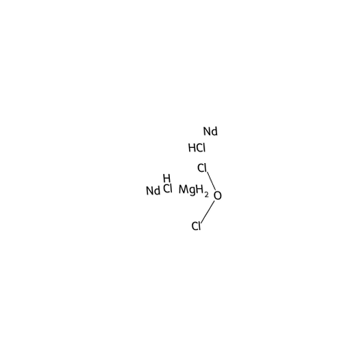 Cl.Cl.ClOCl.[MgH2].[Nd].[Nd]